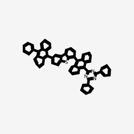 c1ccc(-c2nc(-c3ccccc3)nc(-c3c4ccccc4c(-c4cccc5c4sc4ccc(-c6c7ccccc7c(-c7ccccc7)c7ccccc67)cc45)c4ccccc34)n2)cc1